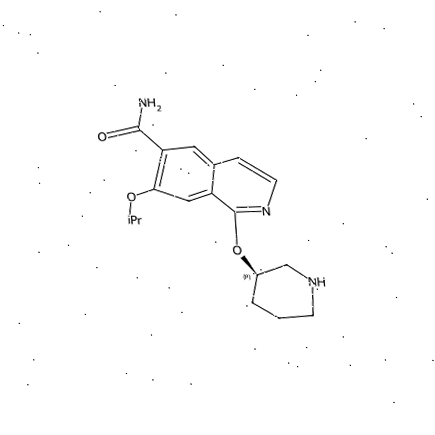 CC(C)Oc1cc2c(O[C@@H]3CCCNC3)nccc2cc1C(N)=O